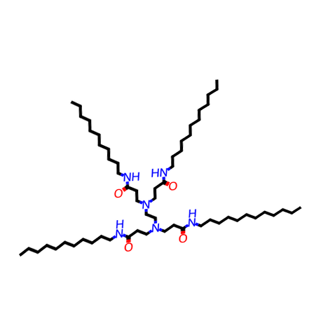 CCCCCCCCCCCCNC(=O)CCN(CCC(=O)NCCCCCCCCCCC)CCN(CCC(=O)NCCCCCCCCCCC)CCC(=O)NCCCCCCCCCCCC